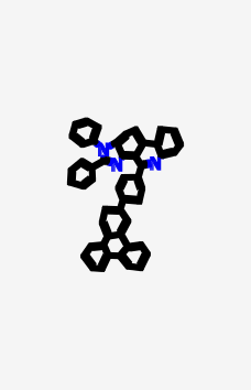 c1ccc(-c2nc3c4c(-c5ccc(-c6ccc7c8ccccc8c8ccccc8c7c6)cc5)nc5ccccc5c4ccc3n2-c2ccccc2)cc1